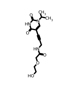 CC(C)n1cc(C#CCNC(=O)COCCO)c(=O)[nH]c1=O